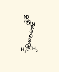 C=C(C)C(=O)OCCOCCOCCOCCOc1cc2oc(=O)c(-c3cccnc3)cc2cn1